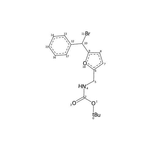 CC(C)(C)OC(=O)NCc1ccc(C(Br)c2ccccc2)o1